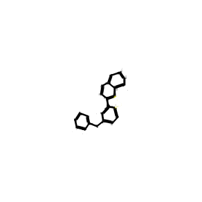 c1ccc(Cc2ccc3sc4c5ccccc5ccc4c3c2)cc1